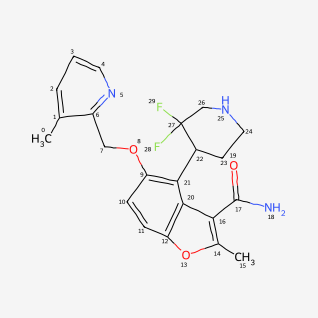 Cc1cccnc1COc1ccc2oc(C)c(C(N)=O)c2c1C1CCNCC1(F)F